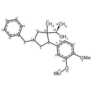 COc1ccc(C2CN(Cc3ccccc3)CC2(C)[C@@H](C)O)cc1OC(C)(C)C